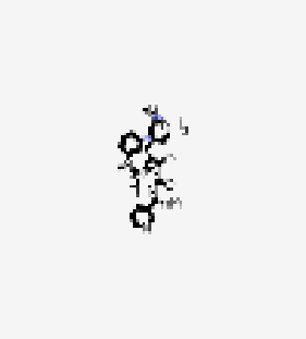 C=C/C(=C\C(N)=N/C)C[C@H]1C(=O)N(C(=O)N[C@H](CCC)c2cccnc2)[C@@H]1C(=O)N(C)c1ccccc1